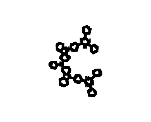 c1ccc(-c2nc(-c3ccccc3)nc(-c3ccc(-n4c5ccccc5c5cc(N(c6ccccc6)c6ccc7c(c6)c6ccccc6n7-c6ccc(-c7nc(-c8ccccc8)nc(-c8ccccc8)n7)cc6)ccc54)cc3)n2)cc1